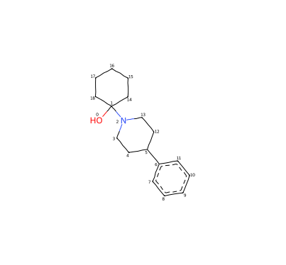 OC1(N2CCC(c3ccccc3)CC2)CCCCC1